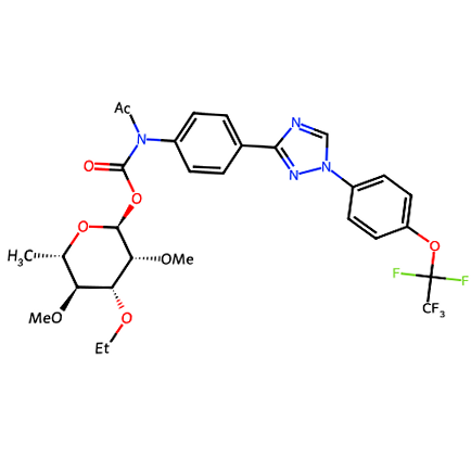 CCO[C@@H]1[C@@H](OC)[C@H](C)O[C@@H](OC(=O)N(C(C)=O)c2ccc(-c3ncn(-c4ccc(OC(F)(F)C(F)(F)F)cc4)n3)cc2)[C@@H]1OC